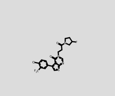 O=C(CCn1cnc2scc(-c3ccc(Cl)c(C(F)(F)F)c3)c2c1=O)N1CCC(F)C1